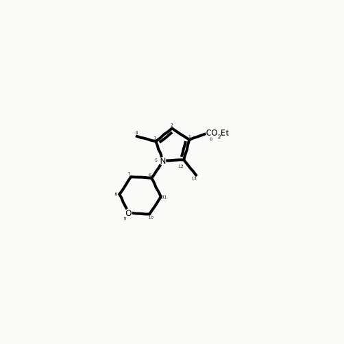 CCOC(=O)c1cc(C)n(C2CCOCC2)c1C